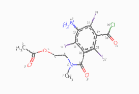 CC(=O)OCCN(C)C(=O)c1c(I)c(N)c(I)c(C(=O)Cl)c1I